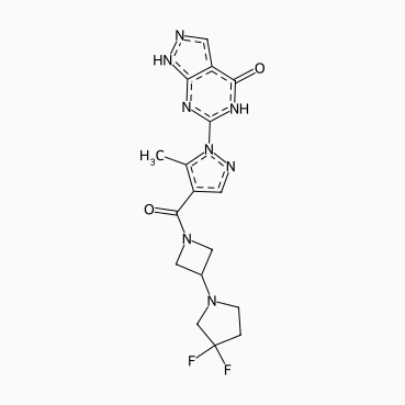 Cc1c(C(=O)N2CC(N3CCC(F)(F)C3)C2)cnn1-c1nc2[nH]ncc2c(=O)[nH]1